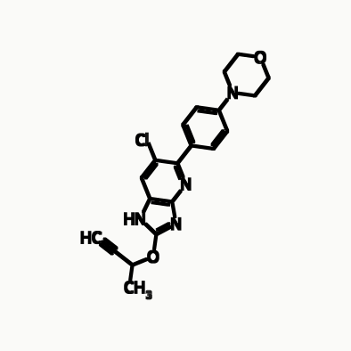 C#CC(C)Oc1nc2nc(-c3ccc(N4CCOCC4)cc3)c(Cl)cc2[nH]1